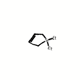 CC[Si]1(CC)CC=CC1